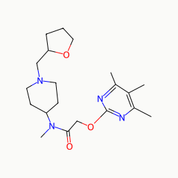 Cc1nc(OCC(=O)N(C)C2CCN(CC3CCCO3)CC2)nc(C)c1C